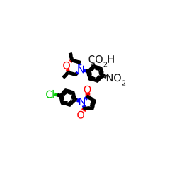 CC1CN(c2ccc([N+](=O)[O-])cc2C(=O)O)CC(C)O1.O=C1C=CC(=O)N1c1ccc(Cl)cc1